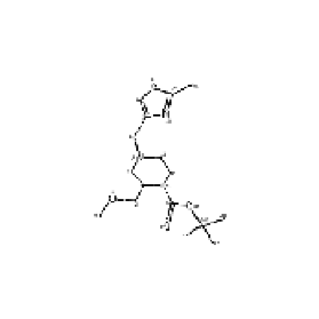 COCC1CN(Cc2coc(C)n2)CCN1C(=O)OC(C)(C)C